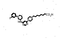 O=C(O)CCCCCCCN1CCN(c2cc(N[C@@H]3CCCN(c4cccc(F)c4)C3)ncn2)CC1